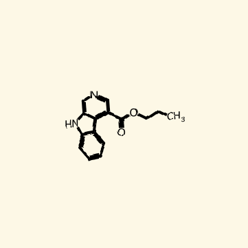 CCCOC(=O)c1cncc2[nH]c3ccccc3c12